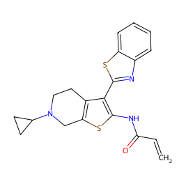 C=CC(=O)Nc1sc2c(c1-c1nc3ccccc3s1)CCN(C1CC1)C2